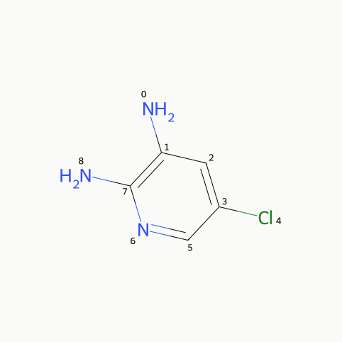 Nc1cc(Cl)cnc1N